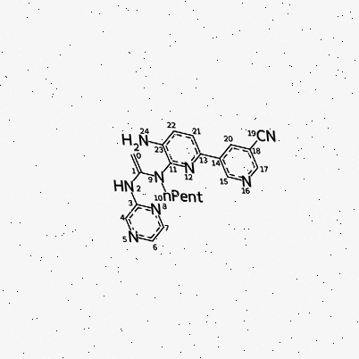 C=C(Nc1cnccn1)N(CCCCC)c1nc(-c2cncc(C#N)c2)ccc1N